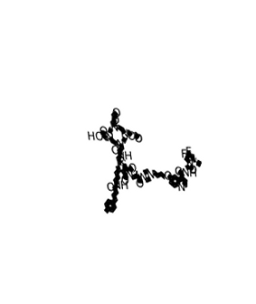 C#C[C@H]1CC(F)(F)CN1C(=O)CNC(=O)c1ccnc2ccc(OCCCCN3CCN(C(=O)[C@H](C)CN4C(=O)CC(S[C@H](CCCCCNC(=O)CCCc5ccc(C)cc5)CNC(=O)CN5CCN(COC=O)CCN(COC=O)CCN(CC(=O)O)CC5)C4=O)CC3)cc12